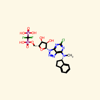 CN(c1nc(Cl)nc2c1nnn2[C@@H]1O[C@H](COP(=O)(O)C(F)(F)P(=O)(O)O)[C@@H](O)[C@H]1O)[C@H]1CCc2ccccc21